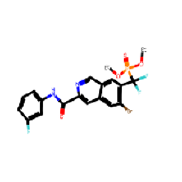 CCOP(=O)(OCC)C(F)(F)c1cc2cnc(C(=O)Nc3cccc(F)c3)cc2cc1Br